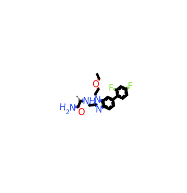 CCOCCn1c(CN[C@@H](C)C(N)=O)nc2ccc(-c3ccc(F)cc3F)cc21